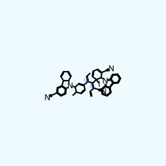 C=C/C(C#N)=C(\C(=C/C)C1=CC(N2c3ccc(C#N)cc3C3C=CC=CC32)C(C)C=C1)C1(I)C=CC=C(C#N)C1n1c2ccccc2c2ccccc21